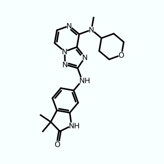 CN(c1nccn2nc(Nc3ccc4c(c3)NC(=O)C4(C)C)nc12)C1CCOCC1